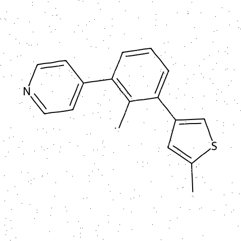 [CH2]c1c(-c2ccncc2)cccc1-c1csc(C)c1